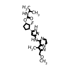 COCc1nn2ccnc(Nc3cc([C@@H]4CC[C@H](OC(=O)NC(C)C)[C@@H]4F)[nH]n3)c2c1C